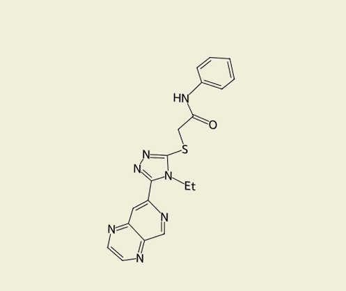 CCn1c(SCC(=O)Nc2ccccc2)nnc1-c1cc2nccnc2cn1